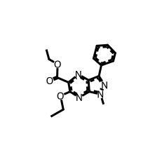 CCOC(=O)c1nc2c(-c3ccccc3)nn(C)c2nc1OCC